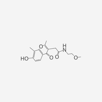 COCCNC(=O)Cc1c(C)oc2c(C)c(O)ccc2c1=O